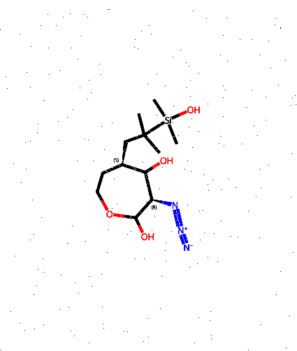 CC(C)(C[C@@H]1CCOC(O)[C@H](N=[N+]=[N-])C1O)[Si](C)(C)O